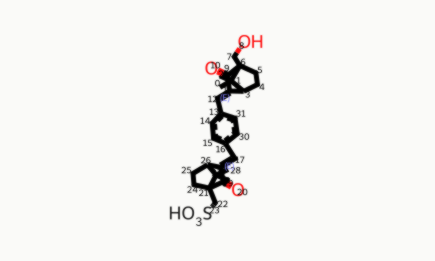 CC1(C)C2CCC1(CO)C(=O)/C2=C/c1ccc(/C=C2/C(=O)C3(CS(=O)(=O)O)CCC2C3(C)C)cc1